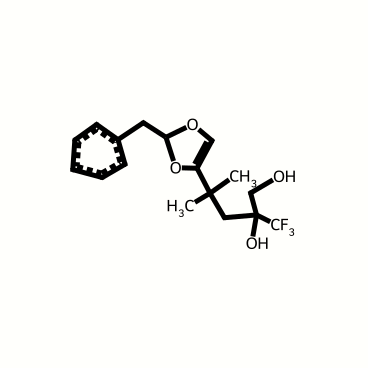 CC(C)(CC(O)(CO)C(F)(F)F)C1=COC(Cc2ccccc2)O1